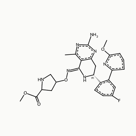 COC(=O)C1CC(ON=C2N[C@@H](c3ccc(F)cc3-c3cccc(OC)n3)Cc3nc(N)nc(C)c32)CN1